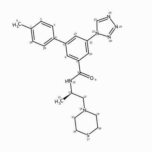 Cc1ccc(-c2cc(C(=O)N[C@H](C)CN3CCSCC3)cc(-n3cnnn3)c2)cc1